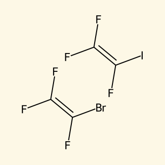 FC(F)=C(F)Br.FC(F)=C(F)I